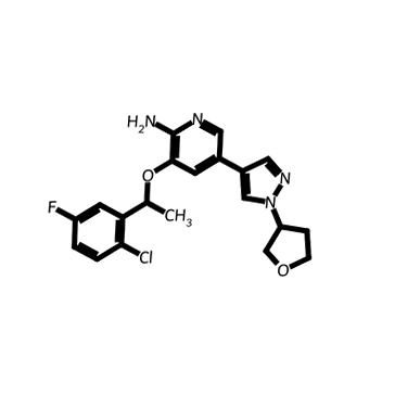 CC(Oc1cc(-c2cnn(C3CCOC3)c2)cnc1N)c1cc(F)ccc1Cl